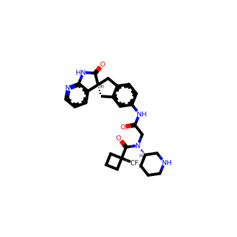 O=C(CN(C(=O)C1(C(F)(F)F)CCC1)[C@H]1CCCNC1)Nc1ccc2c(c1)C[C@@]1(C2)C(=O)Nc2ncccc21